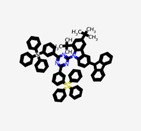 CC(C)(C)c1cc(C(C)(C)C)c2c(c1)c1cc(C3c4ccccc4-c4ccccc43)ccc1n2-c1nc(-c2cccc([Si](c3ccccc3)(c3ccccc3)c3ccccc3)c2)nc(-c2cccc(S(c3ccccc3)(c3ccccc3)c3ccccc3)c2)n1